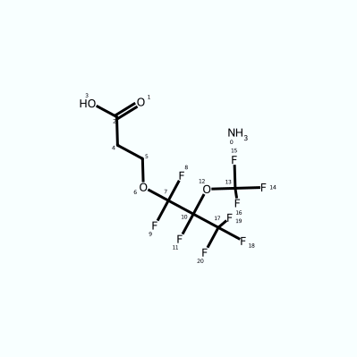 N.O=C(O)CCOC(F)(F)C(F)(OC(F)(F)F)C(F)(F)F